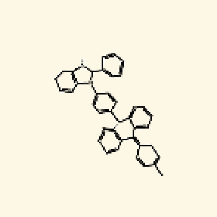 CC[C@H](c1ccc(N2C3=C(CCC=C3)NC2c2ccccc2)cc1)c1ccccc1/C(=C1/C=CC(C)=CC1)c1ccccc1